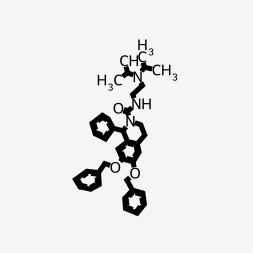 CC(C)N(CCNC(=O)N1CCc2cc(OCc3ccccc3)c(OCc3ccccc3)cc2C1c1ccccc1)C(C)C